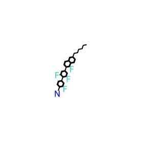 CCCCCCc1ccc2c(F)c(-c3cc(F)c(-c4ccc(C#N)c(F)c4)c(F)c3)ccc2c1